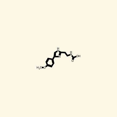 COc1ccc(-c2c[nH]c(CCNC(=O)O)n2)cc1